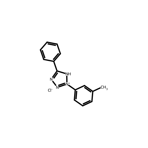 Cc1cccc(-[n+]2nnc(-c3ccccc3)[nH]2)c1.[Cl-]